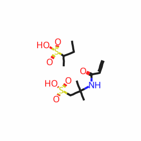 C=CC(=O)NC(C)(C)CS(=O)(=O)O.CCC(C)S(=O)(=O)O